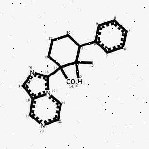 CC1(C)C(c2ccccc2)CCCC1(C(=O)O)c1ncc2cnccn12